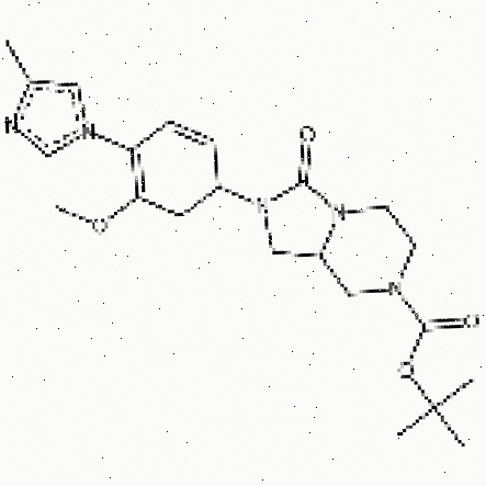 COC1=C(n2cnc(C)c2)C=CC(N2CC3CN(C(=O)OC(C)(C)C)CCN3C2=O)C1